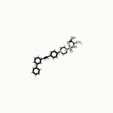 C[C@@H](NS(=O)(=O)N1CCN(c2ccc(C#Cc3cccc(-c4ccccc4)c3)cc2)CC1)C(=O)O